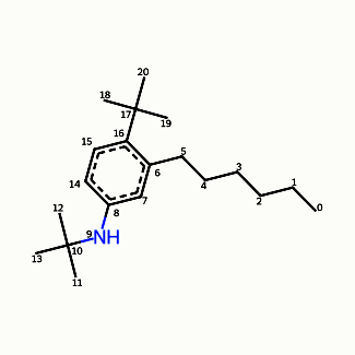 CCCCCCc1cc(NC(C)(C)C)ccc1C(C)(C)C